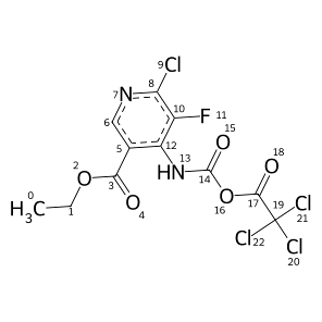 CCOC(=O)c1cnc(Cl)c(F)c1NC(=O)OC(=O)C(Cl)(Cl)Cl